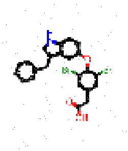 O=C(O)Cc1cc(Br)c(Oc2ccc3[nH]cc(Cc4ccccc4)c3c2)c(Br)c1